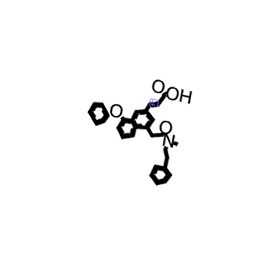 CN(CCc1ccccc1)C(=O)Cc1cc(/C=C/C(=O)O)cc2c(Oc3ccccc3)cccc12